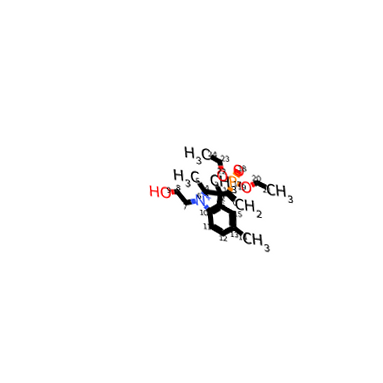 C=C(C1(C)C(C)=[N+](CCO)c2ccc(C)cc21)P(=O)(OCC)OCC